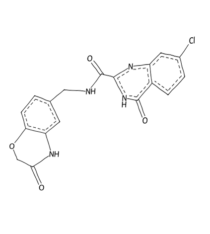 O=C1COc2ccc(CNC(=O)c3nc4cc(Cl)ccc4c(=O)[nH]3)cc2N1